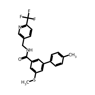 CSc1cc(C(=O)NCc2ccc(C(F)(F)F)nc2)cc(-c2ccc(C)cc2)c1